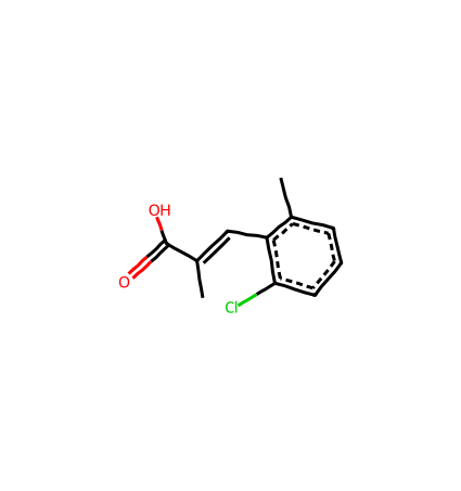 C/C(=C\c1c(C)cccc1Cl)C(=O)O